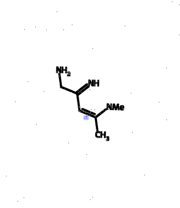 CN/C(C)=C\C(=N)CN